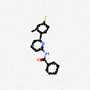 Cc1cc(F)ccc1-c1cccc(NC(=O)c2ccccc2)n1